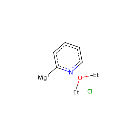 CCOCC.[Cl-].[Mg+][c]1ccccn1